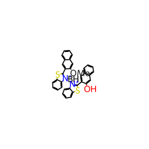 COc1cc2ccccc2cc1-c1sc2ccccc2[n+]1B[n+]1c(-c2cc3ccccc3cc2O)sc2ccccc21